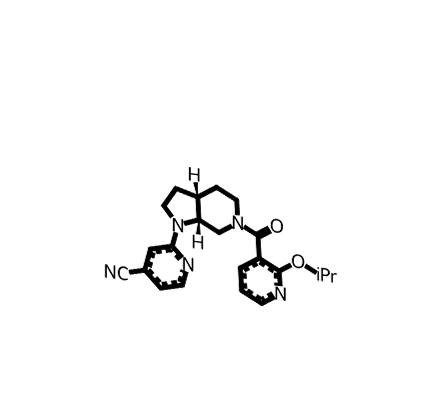 CC(C)Oc1ncccc1C(=O)N1CC[C@H]2CCN(c3cc(C#N)ccn3)[C@H]2C1